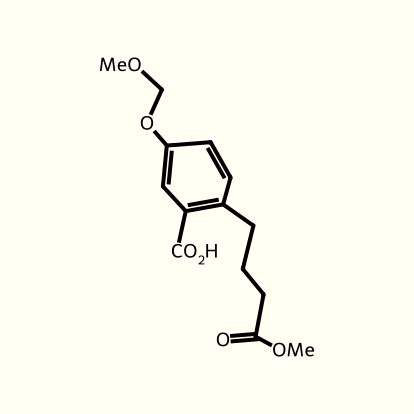 COCOc1ccc(CCCC(=O)OC)c(C(=O)O)c1